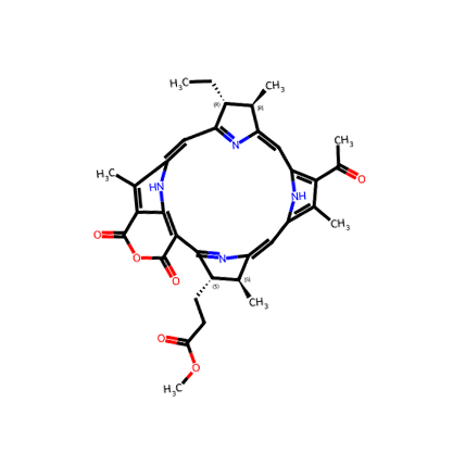 CC[C@H]1c2cc3[nH]c4c(c5nc(cc6[nH]c(cc(n2)[C@@H]1C)c(C(C)=O)c6C)[C@@H](C)[C@@H]5CCC(=O)OC)C(=O)OC(=O)c4c3C